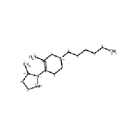 CCCCCCN1CCC(N2NCCC2C)=C(N)C1